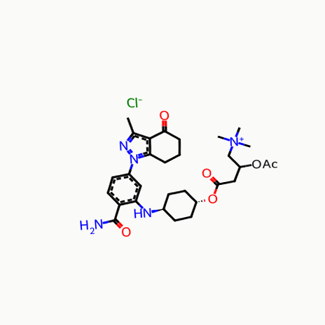 CC(=O)OC(CC(=O)O[C@H]1CC[C@H](Nc2cc(-n3nc(C)c4c3CCCC4=O)ccc2C(N)=O)CC1)C[N+](C)(C)C.[Cl-]